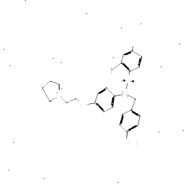 O=S(=O)(c1ccc(F)cc1Cl)N(Cc1ccc(O)cc1)c1ccc(OCCN2CCCC2)cc1